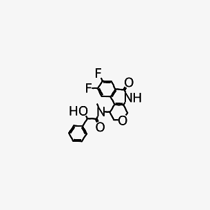 CN(C(=O)C(O)c1ccccc1)C1COCc2[nH]c(=O)c3cc(F)c(F)cc3c21